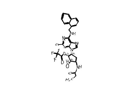 CCC(=O)NC1C[C@@H](n2cnc3c(NCc4cccc5ccccc45)nc(Cl)nc32)[C@H](OC(=O)C(F)(F)F)[C@@H]1O